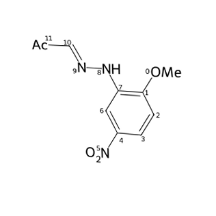 COc1ccc([N+](=O)[O-])cc1NN=CC(C)=O